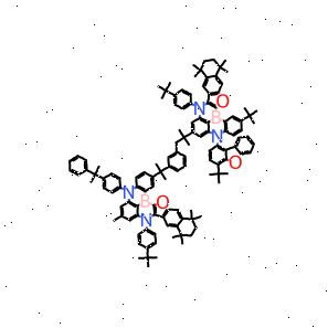 Cc1cc2c3c(c1)N(c1ccc(C(C)(C)C)cc1)c1c(oc4cc5c(cc14)C(C)(C)CCC5(C)C)B3c1cc(C(C)(C)c3cccc(CC(C)(C)c4cc5c6c(c4)N(c4ccc(C(C)(C)C)c7oc8ccccc8c47)c4ccc(C(C)(C)C)cc4B6c4oc6cc7c(cc6c4N5c4ccc(C(C)(C)C)cc4)C(C)(C)CCC7(C)C)c3)ccc1N2c1ccc(C(C)(C)c2ccccc2)cc1